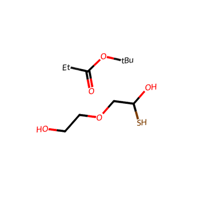 CCC(=O)OC(C)(C)C.OCCOCC(O)S